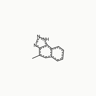 Cc1cc2ccccc2c2[nH]nnc12